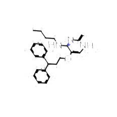 C=C(N)/N=C(NCCCC)\C(=C/C)OCCC(c1ccccc1)c1ccccc1